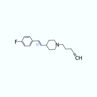 C#CCCCN1CCC(/C=C/c2ccc(F)cc2)CC1